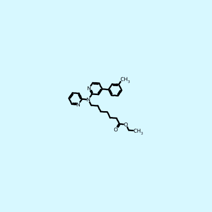 CCOC(=O)CCCCCCN(c1ccccn1)c1cc(-c2cccc(C)c2)ccn1